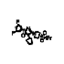 CC(C)S(=O)(=O)N1CCN(c2cnn(-c3cc(F)cc(F)c3)c(=O)c2C2CCCC2)CC1